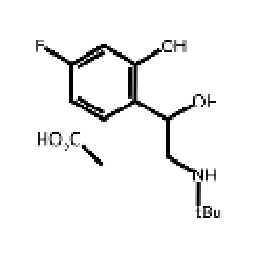 CC(=O)O.CC(C)(C)NCC(O)c1ccc(F)cc1O